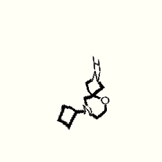 C1CC(N2CCOC3(CNC3)C2)C1